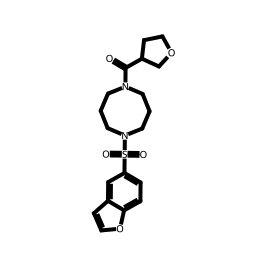 O=C(C1CCOC1)N1CCCN(S(=O)(=O)c2ccc3occc3c2)CCC1